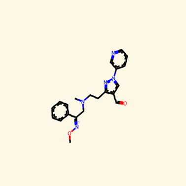 CO/N=C(/CN(C)CCc1nn(-c2cccnc2)cc1C=O)c1ccccc1